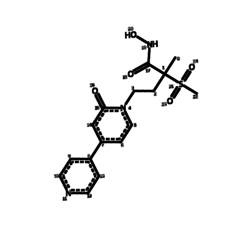 CC(CCn1ccc(-c2ccncc2)cc1=O)(C(=O)NO)S(C)(=O)=O